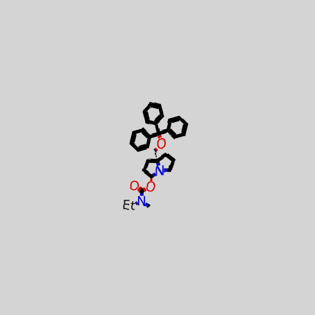 CCN(C)C(=O)O[C@H]1CC[C@@]2(COC(c3ccccc3)(c3ccccc3)c3ccccc3)CCCN12